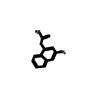 Nc1cc(OC(=O)C(F)(F)F)c2ccccc2c1